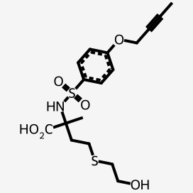 CC#CCOc1ccc(S(=O)(=O)NC(C)(CCSCCO)C(=O)O)cc1